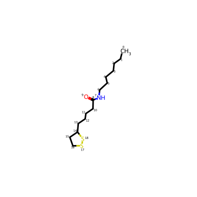 CCCCCCCNC(=O)CCCCC1CCSS1